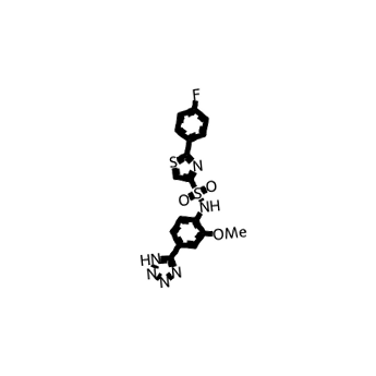 COc1cc(-c2nnn[nH]2)ccc1NS(=O)(=O)c1csc(-c2ccc(F)cc2)n1